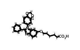 O=C(O)CCCCCOc1ccc2nc(-c3ccccc3)n(-c3ccc4c(c3)OCO4)c2c1